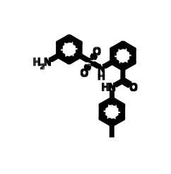 Cc1ccc(NC(=O)c2ccccc2NS(=O)(=O)c2cccc(N)c2)cc1